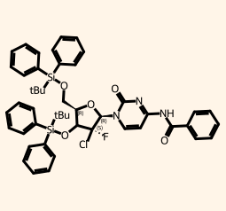 CC(C)(C)[Si](OC[C@H]1O[C@@H](n2ccc(NC(=O)c3ccccc3)nc2=O)[C@@](F)(Cl)C1O[Si](c1ccccc1)(c1ccccc1)C(C)(C)C)(c1ccccc1)c1ccccc1